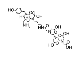 NCC(=O)N[C@@H](Cc1ccc(O)cc1)C(=O)N[C@@H](CCCCNC(=O)CN(CCN(CCN(CC(=O)O)CC(=O)O)CC(=O)O)CC(=O)O)C(=O)O